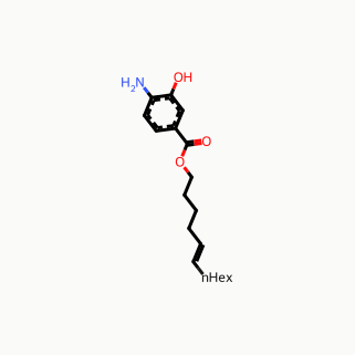 CCCCCC/C=C/CCCCOC(=O)c1ccc(N)c(O)c1